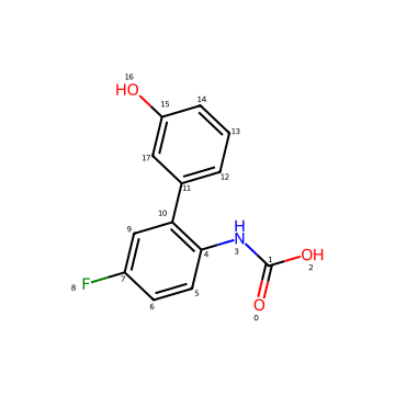 O=C(O)Nc1ccc(F)cc1-c1cccc(O)c1